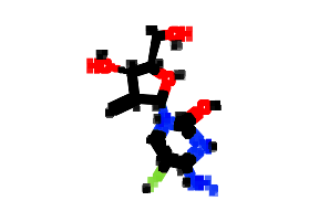 C=C1[C@H](n2cc(F)c(N)nc2=O)O[C@H](CO)[C@H]1O